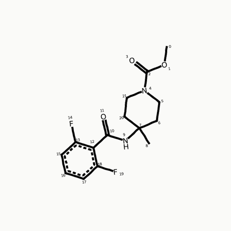 COC(=O)N1CCC(C)(NC(=O)c2c(F)cccc2F)CC1